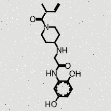 C=CC(C)C(=O)N1CCC(NCC(=O)Nc2cc(O)ccc2O)CC1